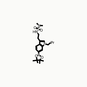 CC(C)Cn1cc(CCNS(=O)(=O)N(C)C)c2ccc(B3OC(C)(C)C(C)(C)O3)cc21